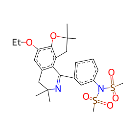 CCOc1cc2c(c3c1OC(C)(C)C3)C(c1cccc(N(S(C)(=O)=O)S(C)(=O)=O)c1)=NC(C)(C)C2